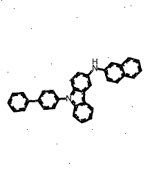 c1ccc(-c2ccc(-n3c4ccccc4c4cc(Nc5ccc6ccccc6c5)ccc43)cc2)cc1